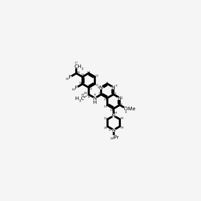 COc1nc2ncnc(N[C@H](C)c3cccc(C(C)F)c3F)c2cc1N1CCN(C(C)C)CC1